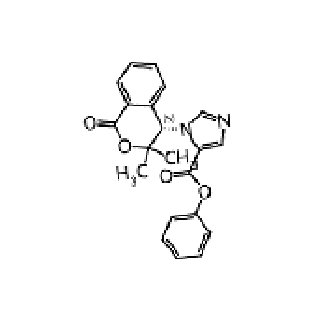 CC1(C)OC(=O)c2ccccc2[C@@H]1n1cncc1C(=O)Oc1ccccc1